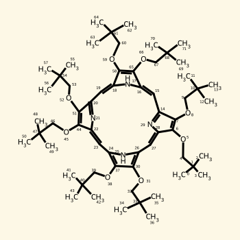 CC(C)(C)COC1=C(OCC(C)(C)C)c2cc3[nH]c(cc4nc(cc5[nH]c(cc1n2)c(OCC(C)(C)C)c5OCC(C)(C)C)C(OCC(C)(C)C)=C4OCC(C)(C)C)c(OCC(C)(C)C)c3OCC(C)(C)C